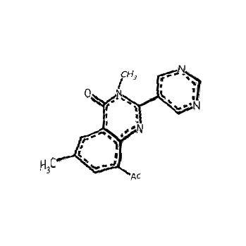 CC(=O)c1cc(C)cc2c(=O)n(C)c(-c3cncnc3)nc12